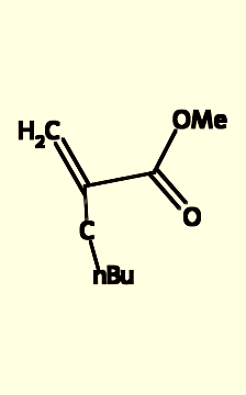 C=C(CCCCC)C(=O)OC